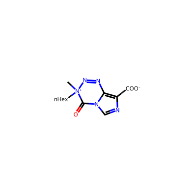 CCCCCC[N+]1(C)N=Nc2c(C(=O)[O-])ncn2C1=O